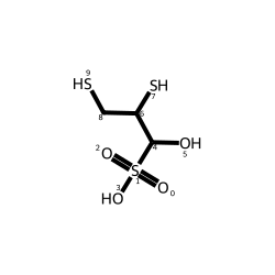 O=S(=O)(O)C(O)C(S)CS